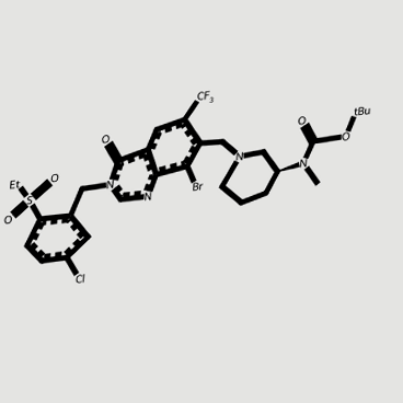 CCS(=O)(=O)c1ccc(Cl)cc1Cn1cnc2c(Br)c(CN3CCC[C@H](N(C)C(=O)OC(C)(C)C)C3)c(C(F)(F)F)cc2c1=O